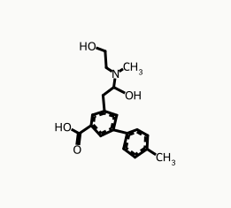 Cc1ccc(-c2cc(CC(O)N(C)CCO)cc(C(=O)O)c2)cc1